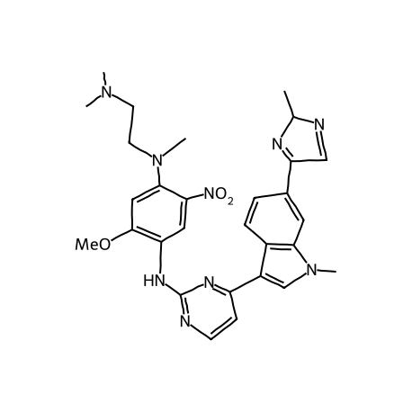 COc1cc(N(C)CCN(C)C)c([N+](=O)[O-])cc1Nc1nccc(-c2cn(C)c3cc(C4=NC(C)N=C4)ccc23)n1